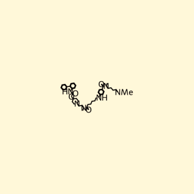 CNCCCCN(C)C(=O)c1ccc(NCCCCCC(=O)N(C)CCN2CCC(OC(=O)Nc3ccccc3-c3ccccc3)CC2)cc1